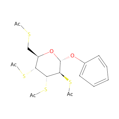 CC(=O)SC[C@H]1O[C@H](Oc2ccccc2)[C@@H](SC(C)=O)[C@H](SC(C)=O)[C@@H]1SC(C)=O